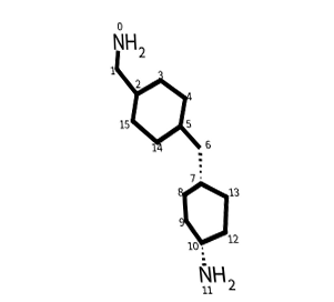 NCC1CCC(C[C@H]2CC[C@@H](N)CC2)CC1